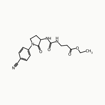 CCOC(=O)CCNC(=O)NC1CCN(c2ccc(C#N)cc2)C1=O